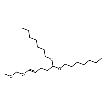 CCCCCCCOC(CCC=COCOC)OCCCCCCC